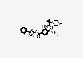 CN1CCN(C2(C(=O)Nc3cc(C(=O)Nc4nnc(-c5ccccc5F)s4)ccc3OC(F)(F)F)CC2)CC1